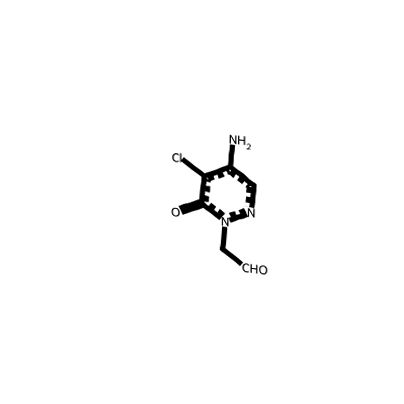 Nc1cnn(CC=O)c(=O)c1Cl